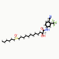 CCCCCC[S+]([O-])CCCCCCCCCC[C@](C)(O)C(=O)Nc1ccc(C#N)c(C(F)(F)F)c1